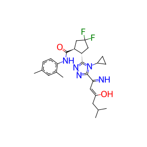 Cc1ccc(NC(=O)[C@H]2CC(F)(F)C[C@@H]2c2nnc(C(=N)/C=C(\O)CC(C)C)n2C2CC2)c(C)c1